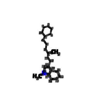 C=C(CCCC1CCCCC1)CCc1cn(C)c2ccccc12